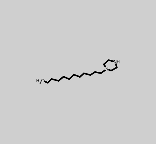 CCCCCCCCCCCCN1CCNCC1